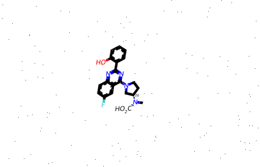 CN(C(=O)O)[C@H]1CCN(c2nc(-c3ccccc3O)nc3ccc(F)cc23)C1